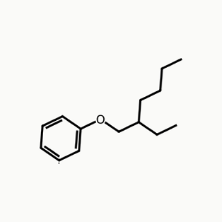 CCCCC(CC)COc1c[c]ccc1